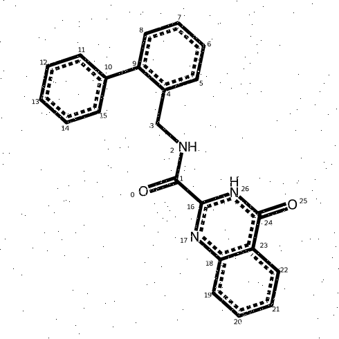 O=C(NCc1ccccc1-c1ccccc1)c1nc2ccccc2c(=O)[nH]1